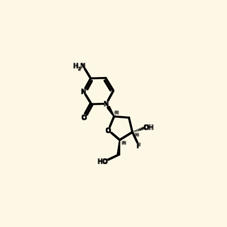 Nc1ccn([C@H]2C[C@@](O)(F)[C@@H](CO)O2)c(=O)n1